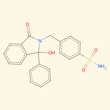 NS(=O)(=O)c1ccc(CN2C(=O)c3ccccc3C2(O)c2ccccc2)cc1